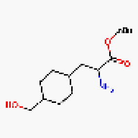 CCCCOC(=O)C(N)CC1CCC(CO)CC1